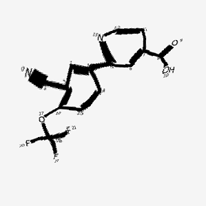 N#Cc1cc(-c2cc(C(=O)O)ccn2)ccc1OC(F)(F)F